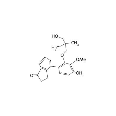 COc1c(O)ccc(-c2cccc3c2CCC3=O)c1OCC(C)(C)CO